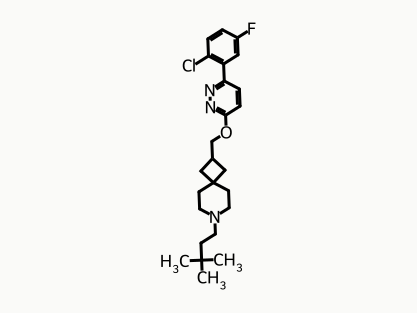 CC(C)(C)CCN1CCC2(CC1)CC(COc1ccc(-c3cc(F)ccc3Cl)nn1)C2